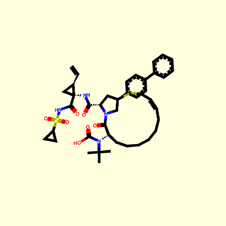 C=C[C@@H]1C[C@]1(NC(=O)[C@@H]1C[C@@]2(c3ccc(-c4ccccc4)cc3)CN1C(=O)[C@@H](N(C(=O)O)C(C)(C)C)CCCCCCC=CCS2)C(=O)NS(=O)(=O)C1CC1